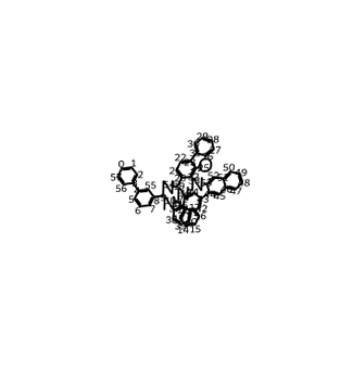 c1ccc(-c2cccc(-c3nc(-c4ccccc4)nc(-c4ccc5c(oc6ccccc65)c4-n4c5cc6ccccc6cc5c5cc6ccccc6cc54)n3)c2)cc1